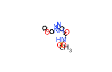 CS(=O)(=O)CCNCc1coc(-c2ccc3ncnc(Nc4ccc(Oc5ccccc5)cc4)c3c2)c1